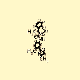 Cc1coc(-c2cc(NC(=O)N3CCOc4ccccc4[C@@H]3C)ccc2C)n1